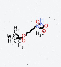 COc1cn(CCCCCCOC(=O)C(C)(CC(C)C)C(C)C)c(=O)[nH]c1=O